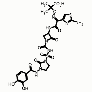 CC(C)(ON=C(C(=O)NC1CN(C(=O)NS(=O)(=O)N2CCN(NC(=O)c3ccc(O)c(O)c3)C2=O)C1=O)c1csc(N)n1)C(=O)O